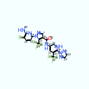 CNc1nc(-n2ncc(C(=O)NC3=CC(C(F)(F)F)=C(n4nccn4)NC3)c2C(F)(F)F)ccc1F